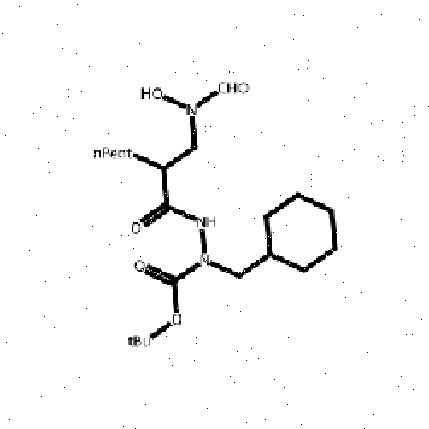 CCCCCC(CN(O)C=O)C(=O)NN(CC1CCCCC1)C(=O)OC(C)(C)C